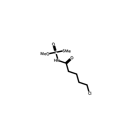 COP(=O)(NC(=O)CCCCCl)SC